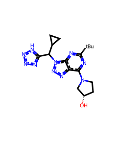 CC(C)(C)c1nc(N2CC[C@H](O)C2)c2nnn(C(c3nnn[nH]3)C3CC3)c2n1